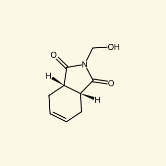 O=C1[C@H]2CC=CC[C@H]2C(=O)N1CO